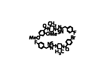 CC1CN(c2nc(Cc3ccc(F)cc3)ns2)CCN1C(=O)c1ccc(Br)cc1.COc1ccc(C(=O)N2CCN(c3nc(Cc4ccc(F)cc4)ns3)CC2C)c(OC)c1